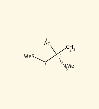 CN[C@](C)(CSC)C(C)=O